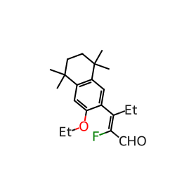 CCOc1cc2c(cc1C(CC)=C(F)C=O)C(C)(C)CCC2(C)C